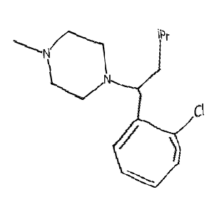 CC(C)CC(c1ccccc1Cl)N1CCN(C)CC1